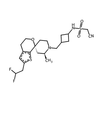 C[C@H]1C[C@@]2(CCN1CC1CC(NS(=O)(=O)CC#N)C1)OCCc1cc(CC(F)F)sc12